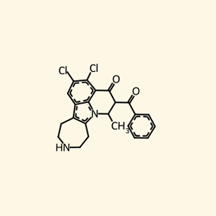 CC1C(C(=O)c2ccccc2)C(=O)c2c(Cl)c(Cl)cc3c4c(n1c23)CCNCC4